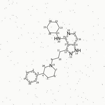 c1ccc(C2CCCN(CCCc3n[nH]c4ccnc(NC5CCCCC5)c34)C2)cc1